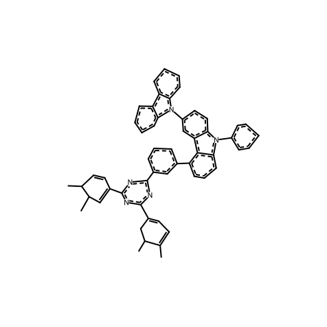 CC1=CC=C(c2nc(C3=CC(C)C(C)C=C3)nc(-c3cccc(-c4cccc5c4c4cc(-n6c7ccccc7c7ccccc76)ccc4n5-c4ccccc4)c3)n2)CC1C